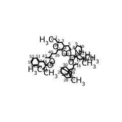 CCCCC(CC(=O)[C@@H]1CCCN1C(=O)[C@@H](CC(=O)CC12CC3CC(CC(C)(C3)C1)C2)C(C)(C)C)C(=O)C(=O)CCC(=O)C[C@H](C(=O)C(C)C)c1ccccc1